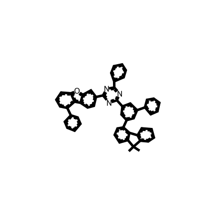 CC1(C)c2ccccc2-c2c(-c3cc(-c4ccccc4)cc(-c4nc(-c5ccccc5)nc(-c5ccc6c(c5)oc5cccc(-c7ccccc7)c56)n4)c3)cccc21